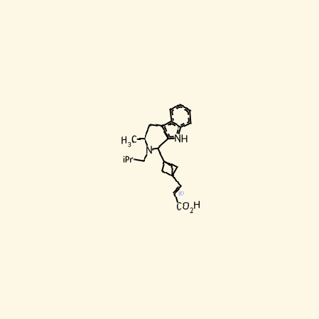 CC(C)CN1C(C)Cc2c([nH]c3ccccc23)C1C12CC(/C=C/C(=O)O)(C1)C2